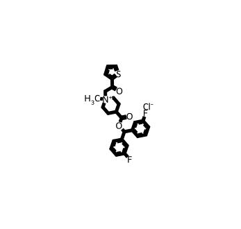 C[N+]1(CC(=O)c2cccs2)CCC(C(=O)OC(c2cccc(F)c2)c2cccc(F)c2)CC1.[Cl-]